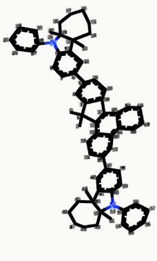 CC1(C)c2cc(-c3ccc4c(c3)C3(C)CCCCCC3(C)N4c3ccccc3)ccc2-c2c1c1ccc(-c3ccc4c(c3)C3(C)CCCCCC3(C)N4c3ccccc3)cc1c1ccccc21